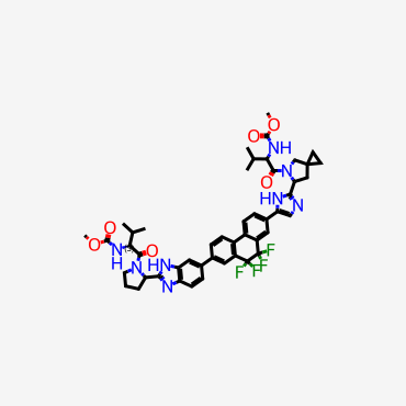 COC(=O)NC(C(=O)N1CC2(CC2)CC1c1ncc(-c2ccc3c(c2)C(F)(F)C(F)(F)c2cc(-c4ccc5nc(C6CCCN6C(=O)[C@@H](NC(=O)OC)C(C)C)[nH]c5c4)ccc2-3)[nH]1)C(C)C